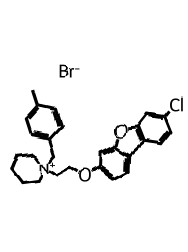 Cc1ccc(C[N+]2(CCOc3ccc4c(c3)oc3cc(Cl)ccc34)CCCCC2)cc1.[Br-]